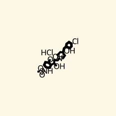 CS(=O)(=O)Nc1ccc2c(c1)C(O)C(O)(CN1CCC(O)(Cc3ccc(Cl)cc3)CC1)O2.Cl